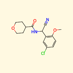 COc1ccc(Cl)cc1C(C#N)NC(=O)C1CCOCC1